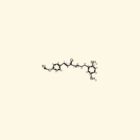 N#COc1ccc(/C=C/C(=O)NCCCc2cc(N)ccc2N)cc1